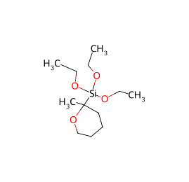 CCO[Si](OCC)(OCC)C1(C)CCCCO1